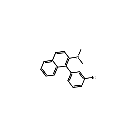 CCc1cccc(-c2c(N(C)C)ccc3ccccc23)c1